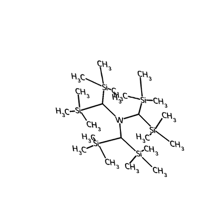 C[Si](C)(C)[CH]([W]([CH]([Si](C)(C)C)[Si](C)(C)C)[CH]([Si](C)(C)C)[Si](C)(C)C)[Si](C)(C)C